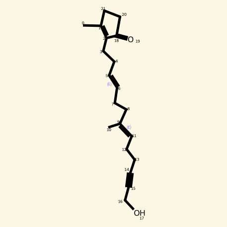 CC1=C(CC/C=C/CC/C(C)=C/CCC#CCO)C(=O)CC1